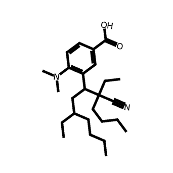 CCCCC(CC)CC(c1cc(C(=O)O)ccc1N(C)C)C(C#N)(CC)CCCC